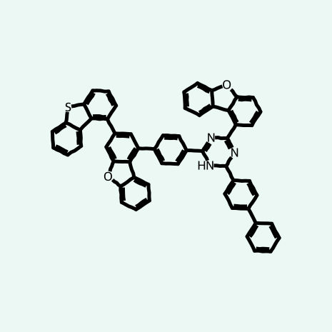 c1ccc(-c2ccc(C3N=C(c4cccc5oc6ccccc6c45)N=C(c4ccc(-c5cc(-c6cccc7sc8ccccc8c67)cc6oc7ccccc7c56)cc4)N3)cc2)cc1